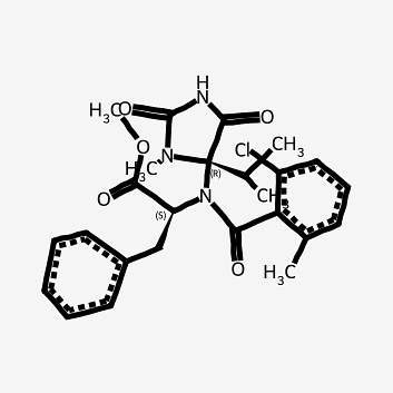 COC(=O)[C@H](Cc1ccccc1)N(C(=O)c1c(C)cccc1Cl)[C@@]1(C(C)C)C(=O)NC(=O)N1C